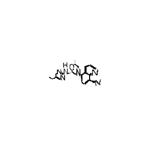 CCc1cnc(NC[C@H]2CN(c3ccc(C#N)c4ncccc34)C[C@@H](C)O2)nc1